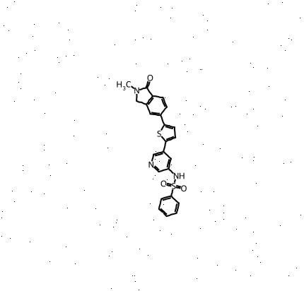 CN1Cc2cc(-c3ccc(-c4cncc(NS(=O)(=O)c5ccccc5)c4)s3)ccc2C1=O